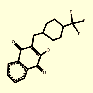 O=C1C(O)=C(CC2CCC(C(F)(F)F)CC2)C(=O)c2ccccc21